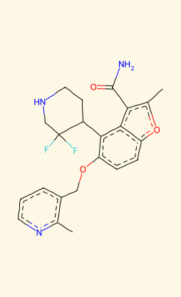 Cc1ncccc1COc1ccc2oc(C)c(C(N)=O)c2c1C1CCNCC1(F)F